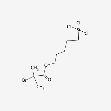 CC(C)(Br)C(=O)OCCCCC[Si](Cl)(Cl)Cl